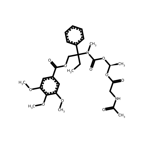 CCC(COC(=O)c1cc(OC)c(OC)c(OC)c1)(c1ccccc1)N(C)C(=O)O[C@@H](C)OC(=O)CNC(C)=O